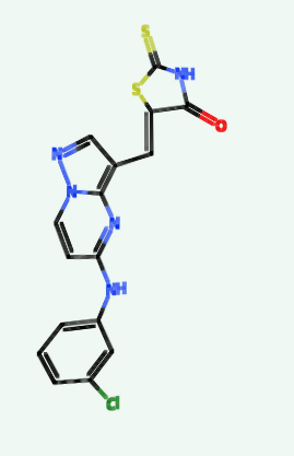 O=C1NC(=S)S/C1=C\c1cnn2ccc(Nc3cccc(Cl)c3)nc12